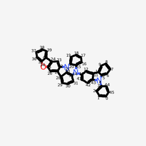 c1ccc(-n2c3ccccc3c3cc(N4c5ccccc5-n5c6cc7c(cc6c6cccc4c65)oc4ccccc47)ccc32)cc1